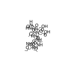 CCCCC(NC(=O)[C@H](CC(C)C)NC(=O)[C@@H](NC(=O)[C@H](Cc1ccccc1C)NC(=O)[C@H](CCC(=O)O)NC(=O)[C@H](CC(=O)O)NC(=O)c1c[nH]c(=O)[nH]c1=O)C(C)(C)C)C(=O)C(N)=O